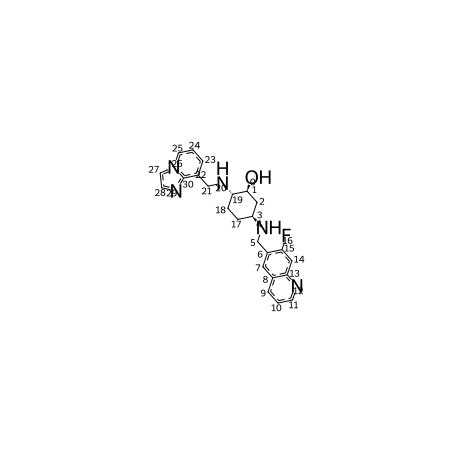 O[C@H]1C[C@@H](NCc2cc3cccnc3cc2F)CC[C@@H]1NCc1cccn2ccnc12